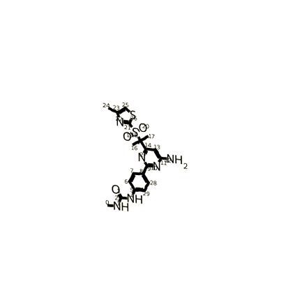 CNC(=O)Nc1ccc(-c2nc(N)cc(C(C)(C)S(=O)(=O)c3nc(C)cs3)n2)cc1